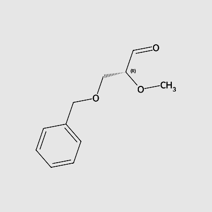 CO[C@@H](C=O)COCc1ccccc1